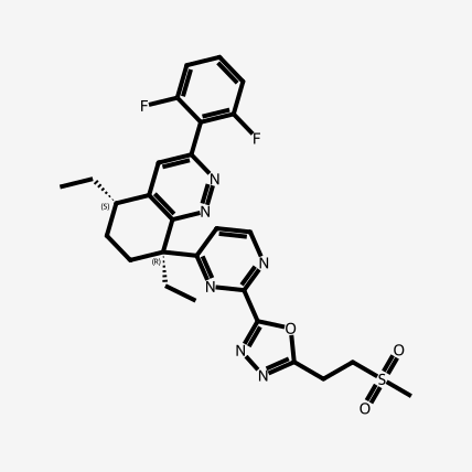 CC[C@H]1CC[C@](CC)(c2ccnc(-c3nnc(CCS(C)(=O)=O)o3)n2)c2nnc(-c3c(F)cccc3F)cc21